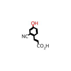 N#Cc1cc(O)ccc1C=CC(=O)O